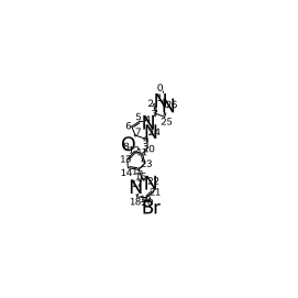 Cn1cc(-n2ccc(=O)c(Cc3cccc(-c4ncc(Br)cn4)c3)n2)cn1